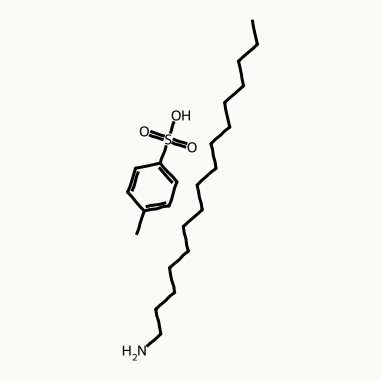 CCCCCCCCCCCCCCCCN.Cc1ccc(S(=O)(=O)O)cc1